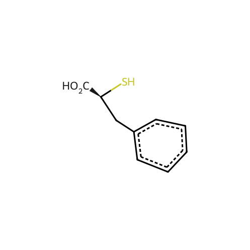 O=C(O)[C@@H](S)Cc1ccccc1